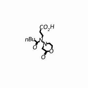 CCCCC(=O)N(CCC(=O)O)N1CCOC(=O)C1